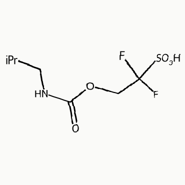 CC(C)CNC(=O)OCC(F)(F)S(=O)(=O)O